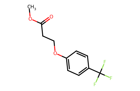 COC(=O)CCOc1ccc(C(F)(F)F)cc1